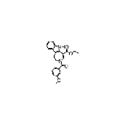 CCOC(=O)C1=CN(C(=O)c2cccc(OC)c2)CCc2c1[nH]c1ccccc21